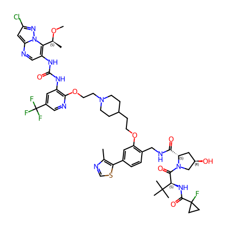 CO[C@@H](C)c1c(NC(=O)Nc2cc(C(F)(F)F)cnc2OCCN2CCC(CCOc3cc(-c4scnc4C)ccc3CNC(=O)[C@@H]3C[C@@H](O)CN3C(=O)[C@@H](NC(=O)C3(F)CC3)C(C)(C)C)CC2)cnc2cc(Cl)nn12